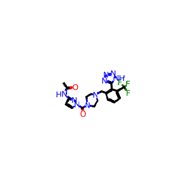 CC(=O)Nc1ccn(C(=O)N2CCN(Cc3cccc(C(F)(F)F)c3-c3nnn[nH]3)CC2)n1